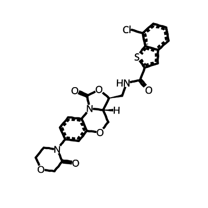 O=C(NC[C@@H]1OC(=O)N2c3ccc(N4CCOCC4=O)cc3OC[C@@H]12)c1cc2cccc(Cl)c2s1